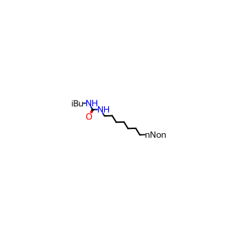 CCCCCCCCCCCCCCCCNC(=O)NC(C)CC